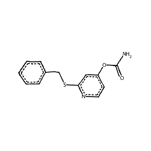 NC(=O)Oc1ccnc(SCc2ccccc2)c1